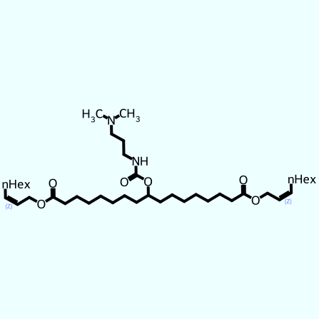 CCCCCC/C=C\COC(=O)CCCCCCCC(CCCCCCCC(=O)OC/C=C\CCCCCC)OC(=O)NCCCN(C)C